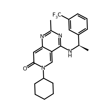 Cc1nc(N[C@H](C)c2cccc(C(F)(F)F)c2)c2cn(C3CCCCC3)c(=O)cc2n1